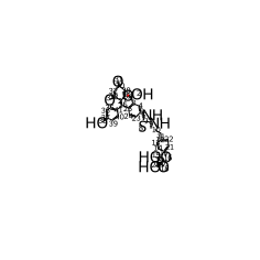 O=C(O)c1cc(NC(=S)NCCc2ccc(OP(=O)(O)O)cc2)ccc1-c1c2ccc(=O)cc-2oc2cc(O)ccc12